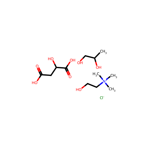 CC(O)CO.C[N+](C)(C)CCO.O=C(O)CC(O)C(=O)O.[Cl-]